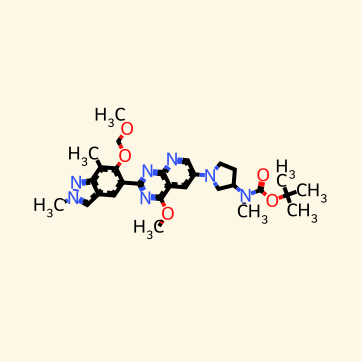 COCOc1c(-c2nc(OC)c3cc(N4CCC(N(C)C(=O)OC(C)(C)C)C4)cnc3n2)cc2cn(C)nc2c1C